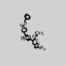 CCOC(=O)C(Cc1ccc(N)nc1)c1c[nH]c(C2CCN(C(=O)OCc3ccccc3)CC2)n1